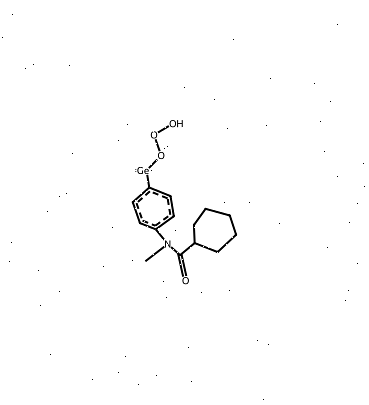 CN(C(=O)C1CCCCC1)c1cc[c]([Ge][O]OO)cc1